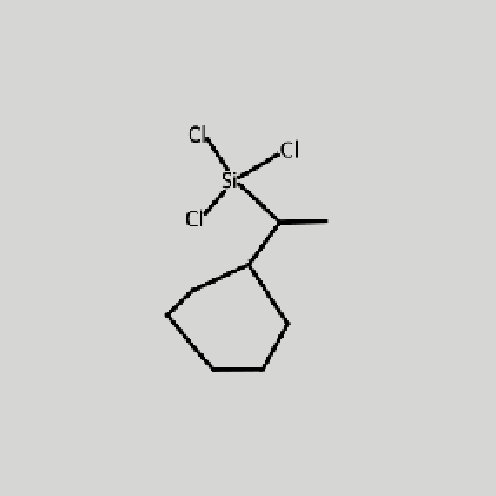 CC([C]1CCCCC1)[Si](Cl)(Cl)Cl